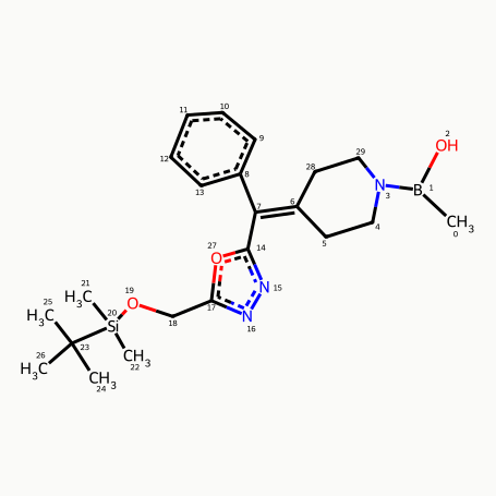 CB(O)N1CCC(=C(c2ccccc2)c2nnc(CO[Si](C)(C)C(C)(C)C)o2)CC1